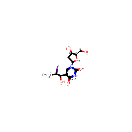 CCOC(=O)C(I)C(O)c1cn([C@H]2CC(O)[C@@H](CO)O2)c(=O)[nH]c1=O